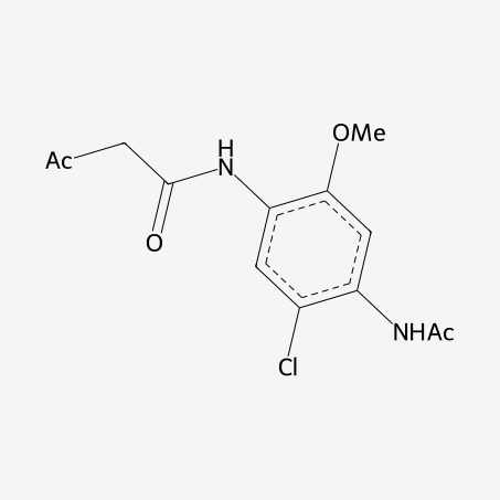 COc1cc(NC(C)=O)c(Cl)cc1NC(=O)CC(C)=O